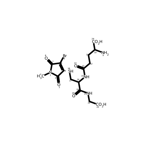 CN1C(=O)C=C(Br)C1=O.NC(CCC(=O)NC(CS)C(=O)NCC(=O)O)C(=O)O